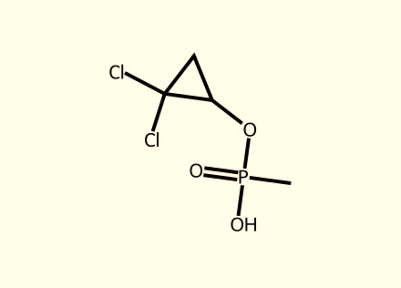 CP(=O)(O)OC1CC1(Cl)Cl